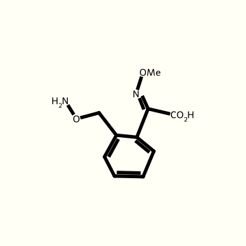 CON=C(C(=O)O)c1ccccc1CON